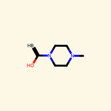 B=C(O)N1CCN(C)CC1